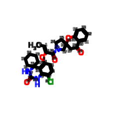 C/C=C(\Oc1ccc(Cl)c2c1C1(CCCCC1)NC(=O)N2)C(=O)N1CCC2(CC(=O)c3ccccc3O2)C1